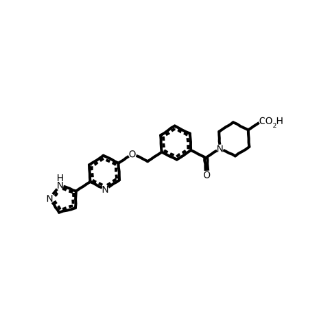 O=C(O)C1CCN(C(=O)c2cccc(COc3ccc(-c4ccn[nH]4)nc3)c2)CC1